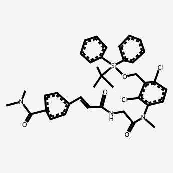 CN(C)C(=O)c1ccc(C=CC(=O)NCC(=O)N(C)c2ccc(Cl)c(CO[Si](c3ccccc3)(c3ccccc3)C(C)(C)C)c2Cl)cc1